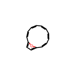 c1cccccc2ccc(cccc1)o2